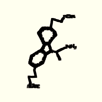 CCCCCCCCCCCCc1ccc2c3ccc(CCCCCCCCCCCC)cc3n(C(C)N)c2c1